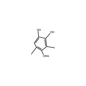 COc1c(I)cc(O)c(O)c1I